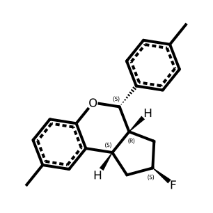 Cc1ccc([C@H]2Oc3ccc(C)cc3[C@H]3C[C@H](F)C[C@H]32)cc1